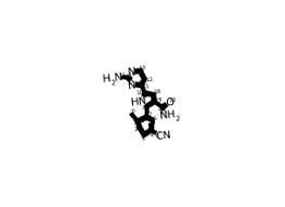 Cc1ccc(C#N)cc1-c1[nH]c(-c2ccnc(N)n2)cc1C(N)=O